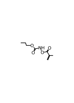 C=C(C)C(=O)ONC(=O)OCCC